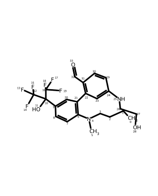 CCCCN(C)c1ccc(C(O)(C(F)(F)F)C(F)(F)F)cc1-c1cc(NCCO)ccc1C=O